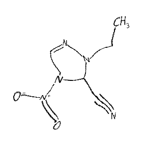 CCN1N=CN([N+](=O)[O-])C1C#N